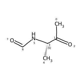 CC(=O)[C@H](C)NC=O